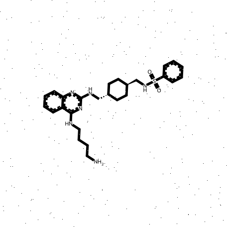 NCCCCNc1nc(NC[C@H]2CC[C@H](CNS(=O)(=O)c3ccccc3)CC2)nc2ccccc12